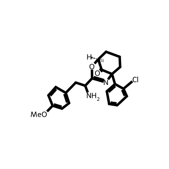 COc1ccc(CC(N)C2=NC3(c4ccccc4Cl)CCC[C@H](O2)C3=O)cc1